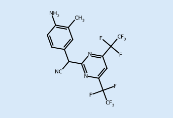 Cc1cc(C(C#N)c2nc(C(F)(F)C(F)(F)F)cc(C(F)(F)C(F)(F)F)n2)ccc1N